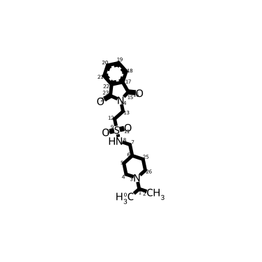 CC(C)N1CCC(CNS(=O)(=O)CCN2C(=O)c3ccccc3C2=O)CC1